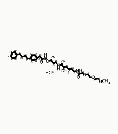 COCCOCCOCC(=O)NCCCCC(N)C(=O)NCCC(=O)ONC(=O)Cc1ccc(CCCCc2ccccc2)cc1.Cl